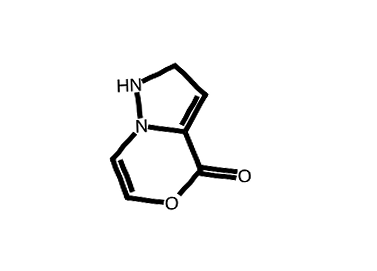 O=C1OC=CN2NCC=C12